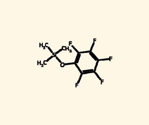 C[Si](C)(C)Oc1c(F)c(F)c(F)c(F)c1F